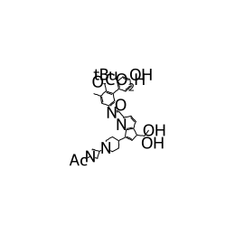 CC(=O)N1CC(N2CCC(C3=CC(C(O)O)c4ccc(-c5nc6cc(C)c(C(OC(C)(C)C)C(=O)O)c(-c7ccc(O)cc7)c6o5)nc43)CC2)C1